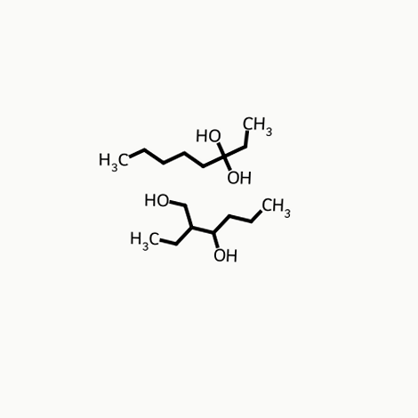 CCCC(O)C(CC)CO.CCCCCC(O)(O)CC